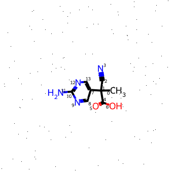 CC(C#N)(C(=O)O)c1cnc(N)nc1